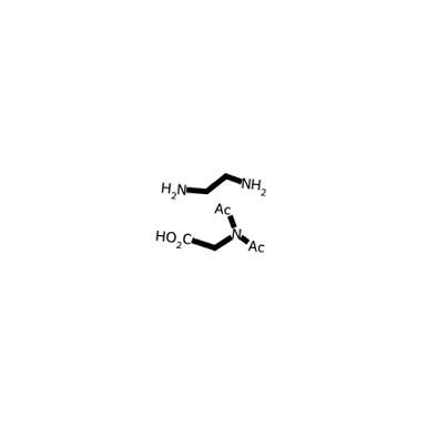 CC(=O)N(CC(=O)O)C(C)=O.NCCN